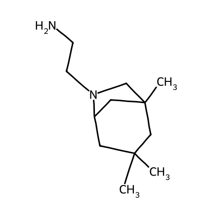 CC1(C)CC2CC(C)(CN2CCN)C1